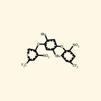 CC(C)(C)c1cc(Oc2ccc(C(F)(F)F)cc2[N+](=O)[O-])c(C(C)(C)C)cc1Oc1ccc(C(F)(F)F)cc1[N+](=O)[O-]